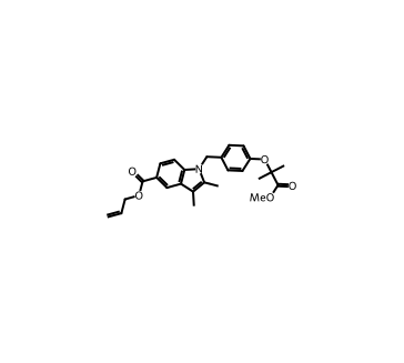 C=CCOC(=O)c1ccc2c(c1)c(C)c(C)n2Cc1ccc(OC(C)(C)C(=O)OC)cc1